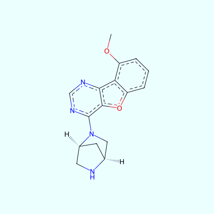 COc1cccc2oc3c(N4C[C@@H]5C[C@H]4CN5)ncnc3c12